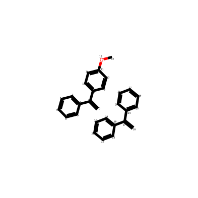 C=C(c1ccccc1)c1ccc(OC)cc1.C=C(c1ccccc1)c1ccccc1